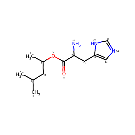 CC(C)CC(C)OC(=O)C(N)Cc1cnc[nH]1